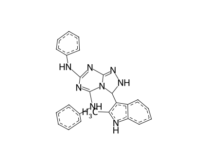 Cc1[nH]c2ccccc2c1C1NN=C2N=C(Nc3ccccc3)N=C(Nc3ccccc3)N21